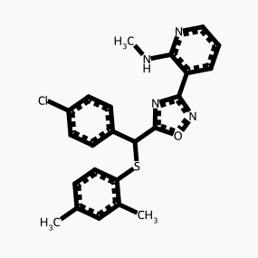 CNc1ncccc1-c1noc(C(Sc2ccc(C)cc2C)c2ccc(Cl)cc2)n1